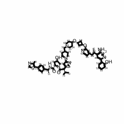 Cc1ncsc1-c1ccc([C@H](C)NC(=O)[C@@H]2C[C@@H](O)CN2C(=O)[C@@H](c2cc(N3CCC(CN4CCC(O[C@H]5C[C@H](Oc6cc(C[C@H](F)c7cc(-c8ccccc8O)nnc7N)ccn6)C5)CC4)CC3)no2)C(C)C)cc1